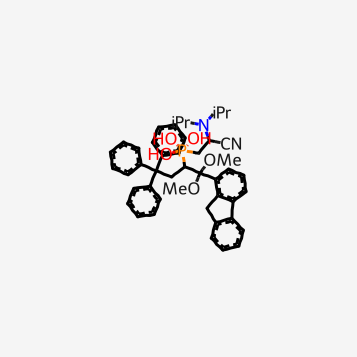 COC(OC)(c1cccc2c1Cc1ccccc1-2)C(CC(c1ccccc1)(c1ccccc1)c1ccccc1)P(O)(O)(O)CC(C#N)N(C(C)C)C(C)C